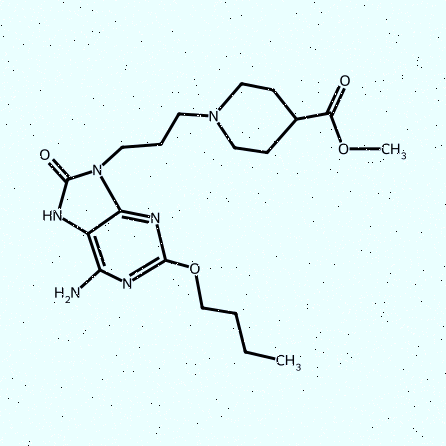 CCCCOc1nc(N)c2[nH]c(=O)n(CCCN3CCC(C(=O)OC)CC3)c2n1